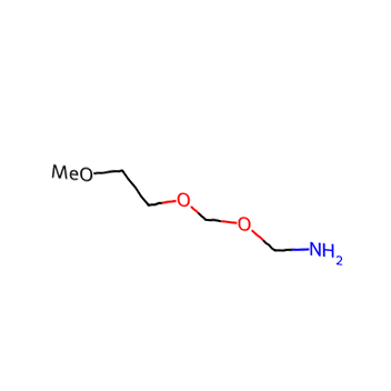 COCCOCOCN